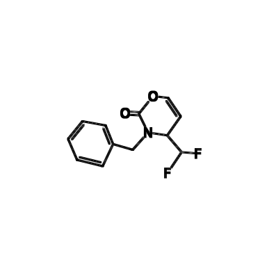 O=C1OC=CC(C(F)F)N1Cc1ccccc1